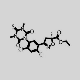 CCOC(=O)[C@]1(C)CC(c2cc(-n3c(=O)n(C)c(=S)n(C)c3=O)c(Cl)cc2Cl)=NO1